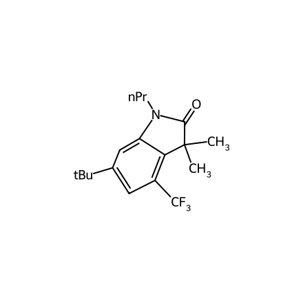 CCCN1C(=O)C(C)(C)c2c1cc(C(C)(C)C)cc2C(F)(F)F